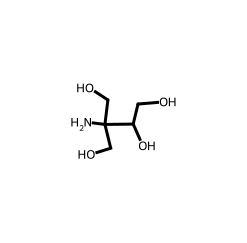 NC(CO)(CO)C(O)CO